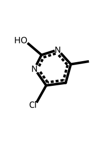 Cc1cc(Cl)nc(O)n1